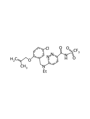 C=C(C)COc1ccc(Cl)cc1CN(CC)c1ccc(C(=O)NS(=O)(=O)C(F)(F)F)nn1